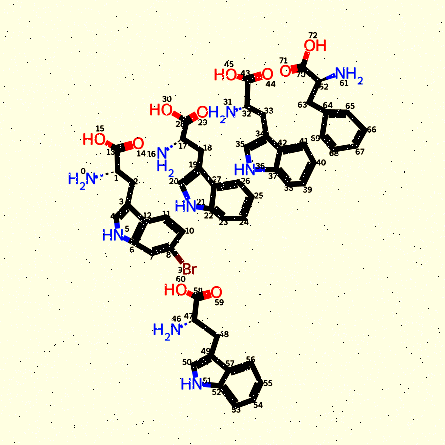 N[C@@H](Cc1c[nH]c2cc(Br)ccc12)C(=O)O.N[C@@H](Cc1c[nH]c2ccccc12)C(=O)O.N[C@@H](Cc1c[nH]c2ccccc12)C(=O)O.N[C@@H](Cc1c[nH]c2ccccc12)C(=O)O.N[C@@H](Cc1ccccc1)C(=O)O